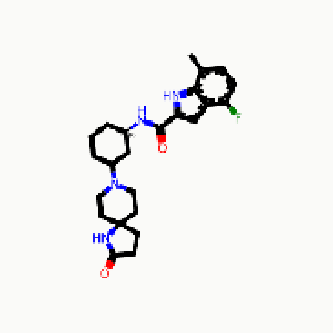 Cc1ccc(F)c2cc(C(=O)N[C@@H]3CCCC(N4CCC5(CCC(=O)N5)CC4)C3)[nH]c12